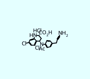 CC(=O)N(c1ccc(CC#CN)cc1)[C@@H]1C[C@@H](C(=O)O)Nc2cc(Cl)cc(Cl)c21.Cl